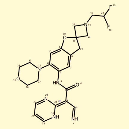 N=C/C(C(=O)Nc1cc2c(cc1N1CCOCC1)OC1(C2)CN(CC(F)F)C1)=C1/N=CC=CN1